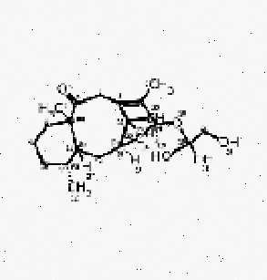 CC1=C2CC(=O)[C@]3(C)CCC[C@@H](C)[C@H]3C[C@H](C[C@@H]1OC(O)(O)CO)C2(C)C